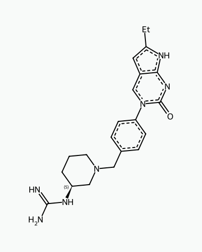 CCc1cc2cn(-c3ccc(CN4CCC[C@H](NC(=N)N)C4)cc3)c(=O)nc2[nH]1